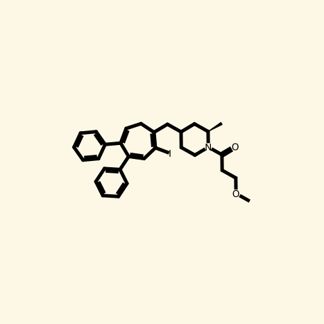 COCCC(=O)N1CCC(CC2=C(I)C=C(c3ccccc3)C(c3ccccc3)=CC2)C[C@H]1C